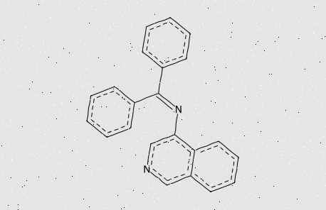 c1ccc(C(=Nc2cncc3ccccc23)c2ccccc2)cc1